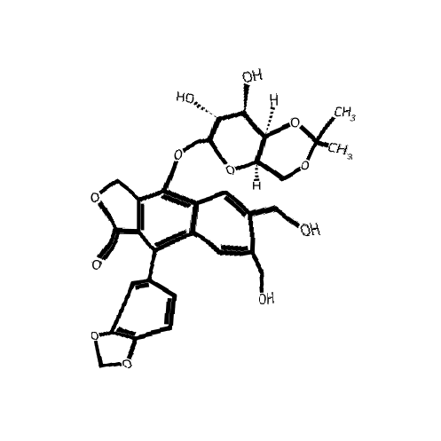 CC1(C)OC[C@H]2OC(Oc3c4c(c(-c5ccc6c(c5)OCO6)c5cc(CO)c(CO)cc35)C(=O)OC4)[C@H](O)[C@@H](O)[C@H]2O1